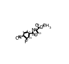 [C-]#[N+]c1ccc(-c2nc(C(=O)OC)co2)cc1F